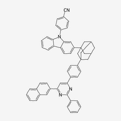 N#Cc1ccc(-n2c3ccccc3c3ccc(C45CC6CC(CC(c7ccc(-c8cc(-c9ccc%10ccccc%10c9)nc(-c9ccccc9)n8)cc7)(C6)C4)C5)cc32)cc1